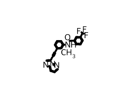 Cc1c(C#Cc2cnc3cccnn23)cccc1NC(=O)c1cccc(C(F)(F)F)c1